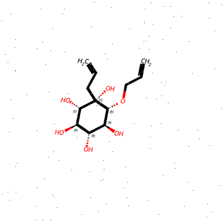 C=CCO[C@@H]1[C@@H](O)[C@H](O)[C@@H](O)[C@H](O)[C@@]1(O)CC=C